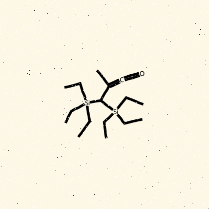 CC[Si](CC)(CC)C(C(C)=C=O)[Si](CC)(CC)CC